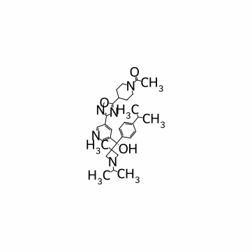 CC(=O)N1CCC(c2nc(-c3cncc([C@@](O)(c4ccc(C(C)C)cc4)C4(C)CN(C(C)C)C4)c3)no2)CC1